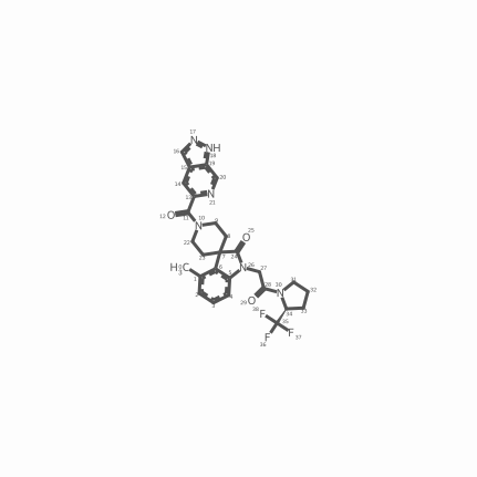 Cc1cccc2c1C1(CCN(C(=O)c3cc4cn[nH]c4cn3)CC1)C(=O)N2CC(=O)N1CCC[C@H]1C(F)(F)F